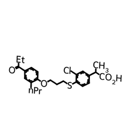 CCCc1cc(C(=O)CC)ccc1OCCCSc1ccc(C(C)C(=O)O)cc1Cl